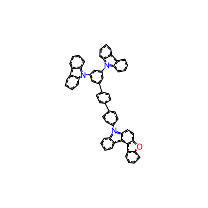 c1ccc2c(c1)oc1ccc3c(c4ccccc4n3-c3ccc(-c4ccc(-c5cc(-n6c7ccccc7c7ccccc76)cc(-n6c7ccccc7c7ccccc76)c5)cc4)cc3)c12